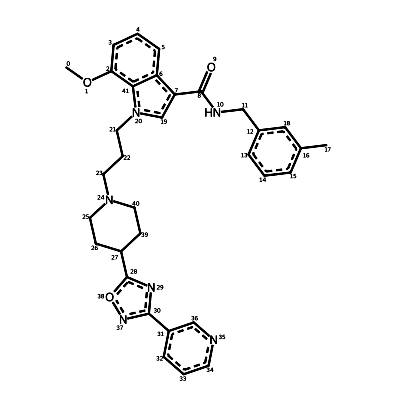 COc1cccc2c(C(=O)NCc3cccc(C)c3)cn(CCCN3CCC(c4nc(-c5cccnc5)no4)CC3)c12